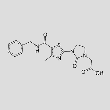 Cc1nc(N2CCN(CC(=O)O)C2=O)sc1C(=O)NCc1ccccc1